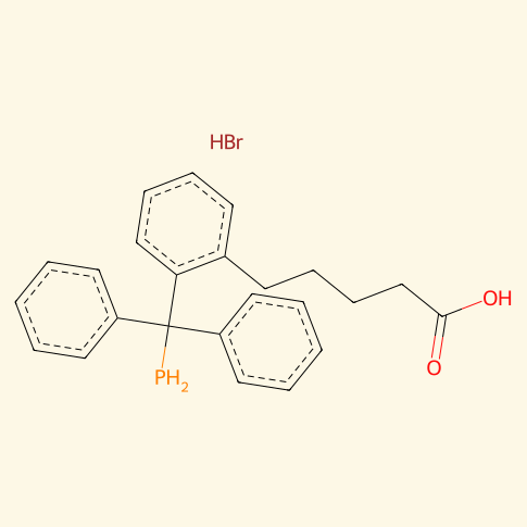 Br.O=C(O)CCCCc1ccccc1C(P)(c1ccccc1)c1ccccc1